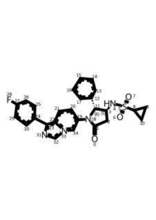 O=C1C[C@H](NS(=O)(=O)C2CC2)[C@@H](c2ccccc2)N1c1ccc2c(-c3ccc(F)cc3)ncn2c1